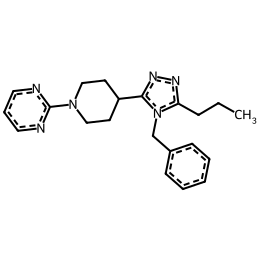 CCCc1nnc(C2CCN(c3ncccn3)CC2)n1Cc1ccccc1